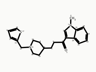 Cn1cc(C(=O)CCC2CCN(Cc3cccs3)CC2)c2ccccc21